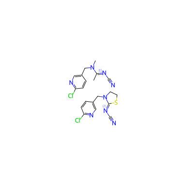 C/C(=N\C#N)N(C)Cc1ccc(Cl)nc1.N#C/N=C1\SCCN1Cc1ccc(Cl)nc1